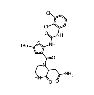 CC(C)(C)c1cc(C(=O)N2CCNC(=O)C2CC(N)=O)c(NC(=O)Nc2cccc(Cl)c2Cl)s1